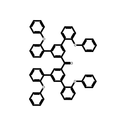 O=C(c1cc(-c2ccccc2Oc2ccccc2)cc(-c2ccccc2Oc2ccccc2)c1)c1cc(-c2ccccc2Oc2ccccc2)cc(-c2ccccc2Oc2ccccc2)c1